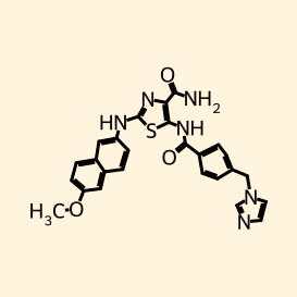 COc1ccc2cc(Nc3nc(C(N)=O)c(NC(=O)c4ccc(Cn5ccnc5)cc4)s3)ccc2c1